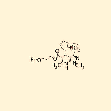 CC1=C(C(=O)OCCCOC(C)C)C(c2ccccc2[N+](=O)[O-])c2c(C3CCCC3)nn(C)c2N1